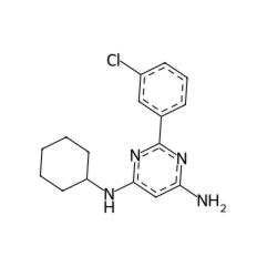 Nc1cc(NC2CCCCC2)nc(-c2cccc(Cl)c2)n1